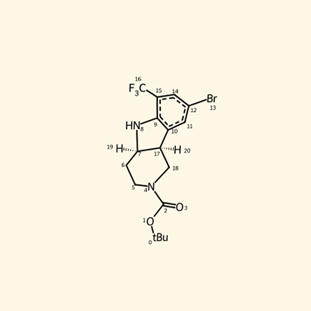 CC(C)(C)OC(=O)N1CC[C@H]2Nc3c(cc(Br)cc3C(F)(F)F)[C@H]2C1